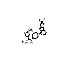 C[C@H](N[C@@H]1CCCN(c2ncnc3sc(CC(F)(F)F)cc23)CC1)C1C=NN(C)C1